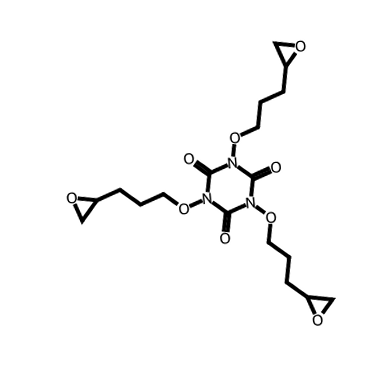 O=c1n(OCCCC2CO2)c(=O)n(OCCCC2CO2)c(=O)n1OCCCC1CO1